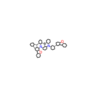 CC12c3ccccc3-c3cc4c(oc5ccccc54)c(c31)N1c3cccc4c3B(c3ccccc3N4c3cccc(-c4ccc5oc6ccccc6c5c4)c3)c3cccc2c31